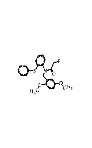 COc1ccc(OC)c(CN(C(=O)CF)c2ccccc2Sc2ccccc2)c1